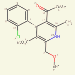 CCCOCC1=C(C(=O)OCC)[C@H](c2ccccc2Cl)C(C(=O)OC)=C(C)N1